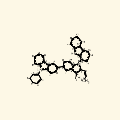 C/C=C\c1c(C)c2cc(-c3ccc4c(c3)c3ccccc3n4C3=CCCC=C3)ccc2n1-c1cccc2c1sc1ccccc12